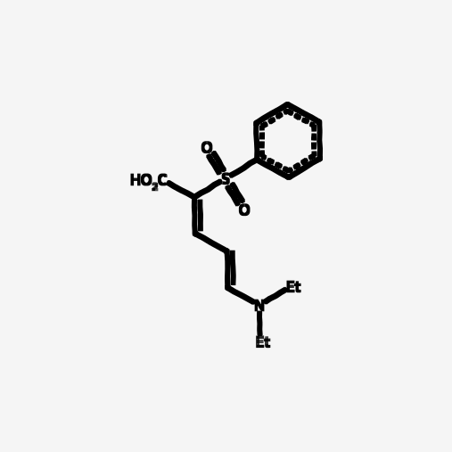 CCN(/C=C/C=C(/C(=O)O)S(=O)(=O)c1ccccc1)CC